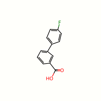 O=C(O)c1cccc(-c2ccc(F)cc2)c1